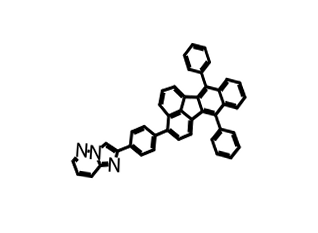 c1ccc(-c2c3c(c(-c4ccccc4)c4ccccc24)-c2ccc(-c4ccc(-c5cn6ncccc6n5)cc4)c4cccc-3c24)cc1